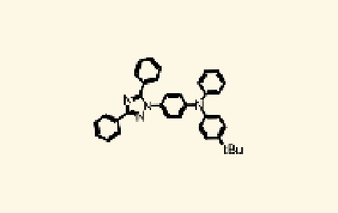 CC(C)(C)c1ccc(N(c2ccccc2)c2ccc(-n3nc(-c4ccccc4)nc3-c3ccccc3)cc2)cc1